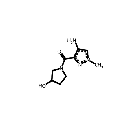 Cn1cc(N)c(C(=O)N2CCC(O)C2)n1